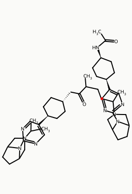 CC(=O)N[C@H]1CC[C@@H](c2cnc(N3C4CCC3CN(C(C)CCC(C)C(=O)C[C@H]3CC[C@H](c5cnc(N6C7CCC6CN(C(C)C)C7)nc5)CC3)C4)nc2)CC1